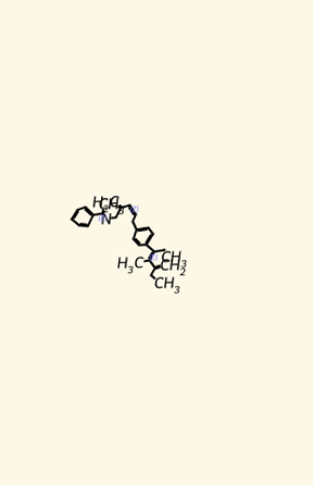 C=C(/C=C\Cc1ccc(/C(CC)=C(\C)C(=C)CC)cc1)C/N=C(\C)c1ccccc1